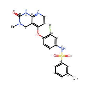 CCN1Cc2c(Oc3ccc(NS(=O)(=O)c4cccc(C(F)(F)F)c4)cc3F)ccnc2NC1=O